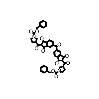 O=C(c1ccc2c(c1)C(=O)C(C(=O)C1CCN(C(=O)OCc3ccccc3)C1)C2=O)c1ccc2c(c1)C(=O)C(C(=O)C1CCN(C(=O)OCc3ccccc3)C1)C2=O